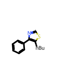 CCCCc1s[c]nc1-c1ccccc1